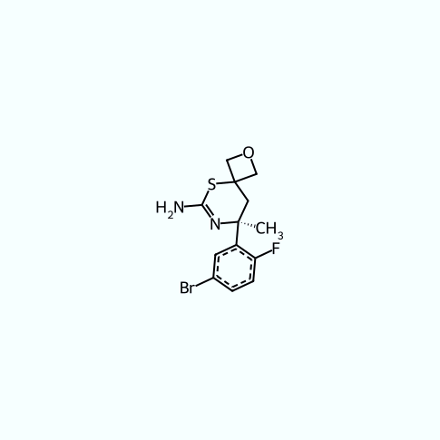 C[C@@]1(c2cc(Br)ccc2F)CC2(COC2)SC(N)=N1